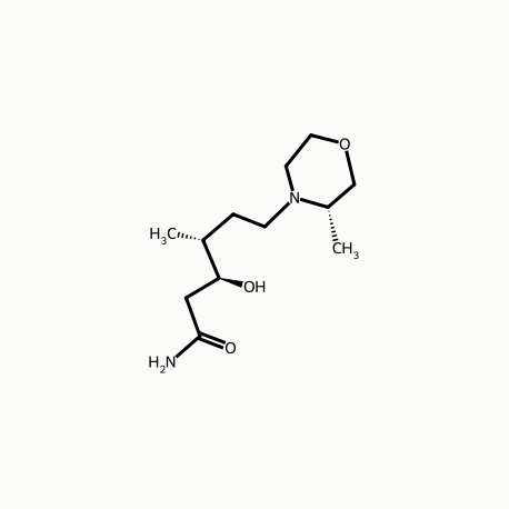 C[C@H](CCN1CCOC[C@@H]1C)[C@@H](O)CC(N)=O